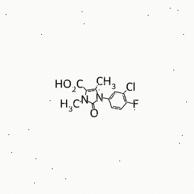 Cc1c(C(=O)O)n(C)c(=O)n1-c1ccc(F)c(Cl)c1